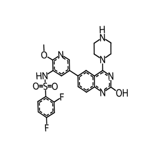 COc1ncc(-c2ccc3nc(O)nc(N4CCNCC4)c3c2)cc1NS(=O)(=O)c1ccc(F)cc1F